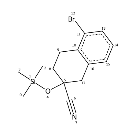 C[Si](C)(C)OC1(C#N)CCc2c(Br)cccc2C1